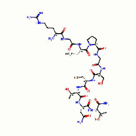 C[C@@H](O)[C@H](NC(=O)[C@H](CC(N)=O)NC(=O)[C@@H](NC(=O)[C@H](CS)NC(=O)[C@H](CO)NC(=O)CNC(=O)[C@@H]1CCCN1C(=O)[C@H](CC(=O)O)NC(=O)CNC(=O)[C@@H](N)CCCNC(=N)N)[C@@H](C)O)C(N)=O